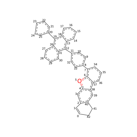 C1=Cc2cc3oc4c(-c5ccc(-c6c7ccccc7c(-c7ccccc7)c7ccccc67)cc5)cccc4c3cc2CC1